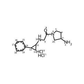 Cl.Cl.NC1CCN(C(=O)CNC2CC2c2ccccc2)C1